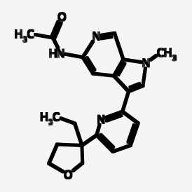 CCC1(c2cccc(-c3cn(C)c4cnc(NC(C)=O)cc34)n2)CCOC1